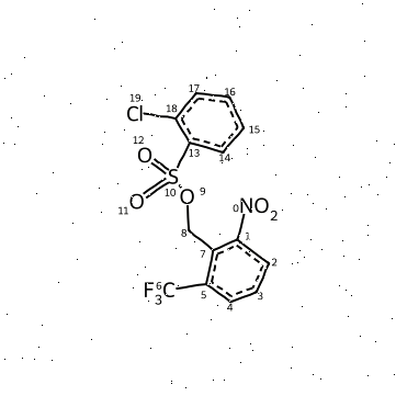 O=[N+]([O-])c1cccc(C(F)(F)F)c1COS(=O)(=O)c1ccccc1Cl